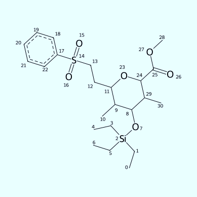 CC[Si](CC)(CC)OC1C(C)C(CCS(=O)(=O)c2ccccc2)OC(C(=O)OC)C1C